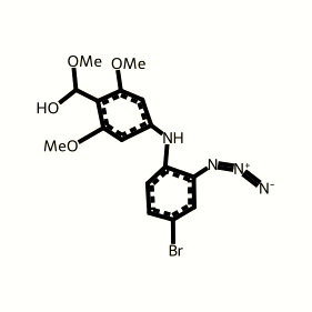 COc1cc(Nc2ccc(Br)cc2N=[N+]=[N-])cc(OC)c1C(O)OC